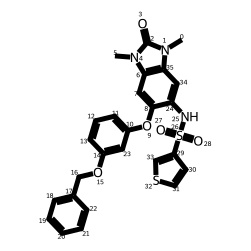 Cn1c(=O)n(C)c2cc(Oc3cccc(OCc4ccccc4)c3)c(NS(=O)(=O)c3ccsc3)cc21